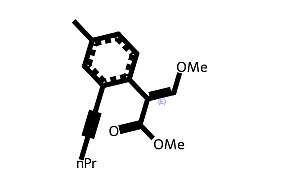 CCCC#Cc1cc(C)ccc1/C(=C\OC)C(=O)OC